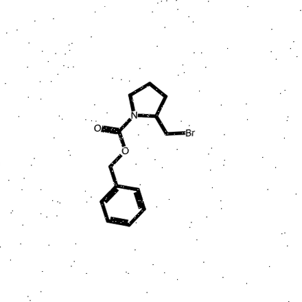 O=C(OCc1ccccc1)N1CCCC1CBr